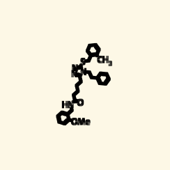 COc1ccccc1CNC(=O)CCCCc1nnc(SCC2=C(C)C=CCC2)n1CCc1ccccc1